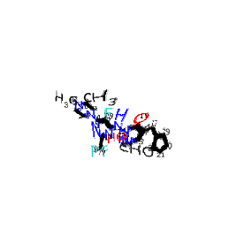 C[C@H]1CN(c2nc(C(F)F)nc(NNC(=O)[C@@H](CC3CCCC3)CN(O)C=O)c2F)CCN1C